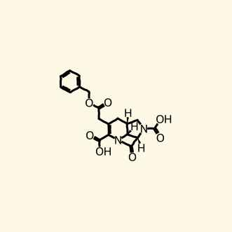 O=C(CC1=C(C(=O)O)N2C(=O)[C@@H]3[C@H]2[C@H](C1)CN3C(=O)O)OCc1ccccc1